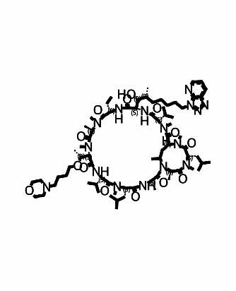 CC[C@@H]1NC(=O)[C@H]([C@H](O)[C@H](C)CCCCCn2nnc3cccnc32)NC(=O)[C@H](C(C)C)N(C)C(=O)[C@@H]2CC(C)N(C(=O)[C@H](C)NC(=O)[C@H](CC(C)C)N(C)C(=O)[C@H](C(C)C)NC(=O)[C@H]([C@@H](C)OCCCCN3CCOCC3)N(C)C(=O)[C@@H](C)N(C)C1=O)[C@H](C)C(=O)N(C)[C@@H](CC(C)C)C(=O)N2C